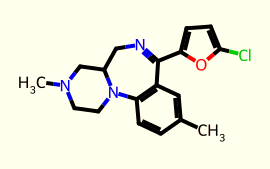 Cc1ccc2c(c1)C(c1ccc(Cl)o1)=NCC1CN(C)CCN21